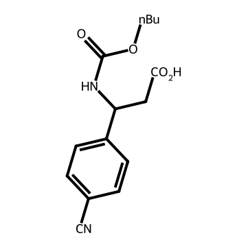 CCCCOC(=O)NC(CC(=O)O)c1ccc(C#N)cc1